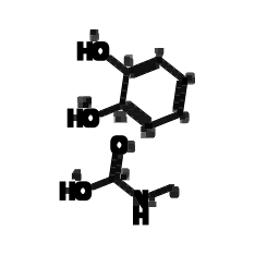 CNC(=O)O.Oc1ccccc1O